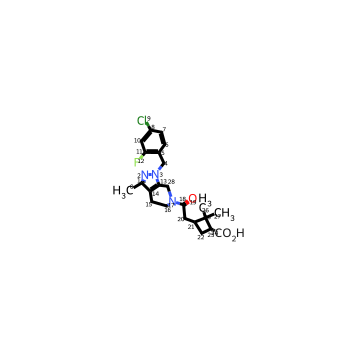 Cc1nn(Cc2ccc(Cl)cc2F)c2c1CCN(C(=O)CC1CC(C(=O)O)C1(C)C)C2